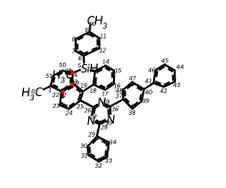 Cc1ccc([SiH](c2ccc(C)cc2)c2ccccc2-c2c(C)cccc2-c2nc(-c3ccccc3)nc(-c3ccc(-c4ccccc4)cc3)n2)cc1